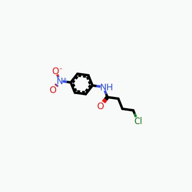 O=C(CCCCl)Nc1ccc([N+](=O)[O-])cc1